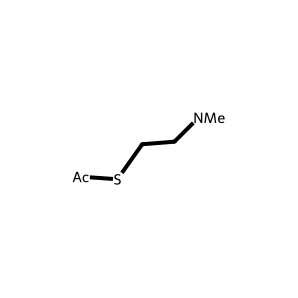 CNCCSC(C)=O